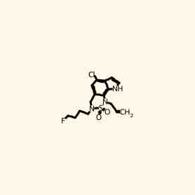 C=CCN1c2c(cc(Cl)c3cc[nH]c23)CN(CCCCF)S1(=O)=O